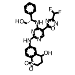 O=S1(=O)CCC(O)c2cc(Nc3ncc(-c4nc(C(F)F)no4)c(N[C@H](CO)c4ccccc4)n3)ccc21